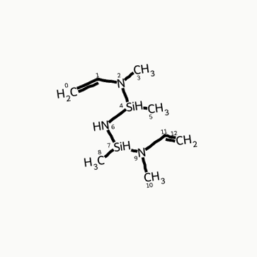 C=CN(C)[SiH](C)N[SiH](C)N(C)C=C